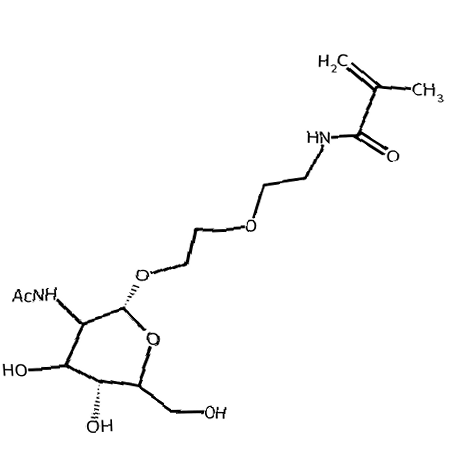 C=C(C)C(=O)NCCOCCO[C@@H]1OC(CO)[C@H](O)C(O)C1NC(C)=O